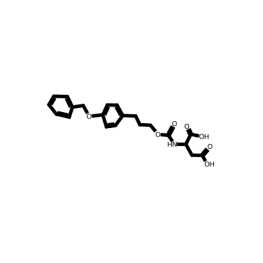 O=C(O)CC(NC(=O)OCCCc1ccc(OCc2ccccc2)cc1)C(=O)O